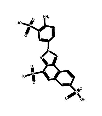 Nc1ccc(-n2nc3c(S(=O)(=O)O)cc4cc(S(=O)(=O)O)ccc4c3n2)cc1S(=O)(=O)O